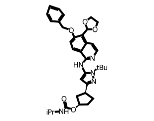 CC(C)NC(=O)O[C@@H]1CC[C@H](c2cc(Nc3nccc4c(C5OCCO5)c(OCc5ccccc5)ccc34)n(C(C)(C)C)n2)C1